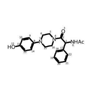 CC(=O)NC(C(=O)N1CCN(c2ccc(O)cc2)CC1)c1ccccc1